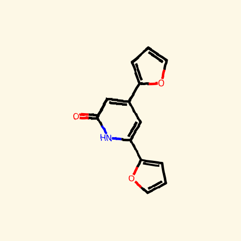 O=c1cc(-c2ccco2)cc(-c2ccco2)[nH]1